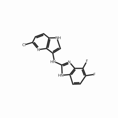 Fc1ccc2[nH]c(Nc3c[nH]c4ccc(Cl)nc34)nc2c1F